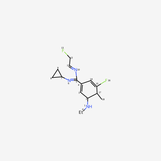 CCNC1C=C(C(=N/C2CC2)/N=C/CF)C=C(F)C1C